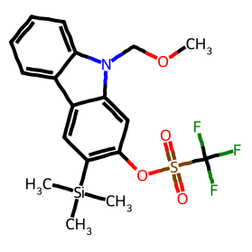 COCn1c2ccccc2c2cc([Si](C)(C)C)c(OS(=O)(=O)C(F)(F)F)cc21